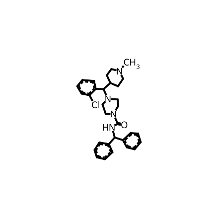 CN1CCC(C(c2ccccc2Cl)N2CCN(C(=O)NC(c3ccccc3)c3ccccc3)CC2)CC1